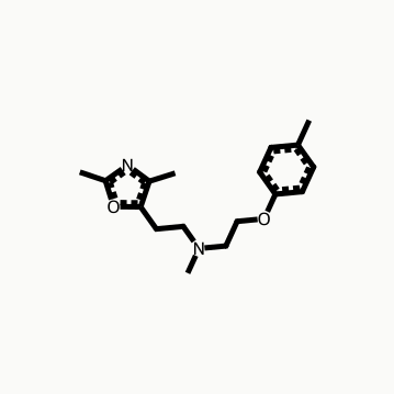 Cc1ccc(OCCN(C)CCc2oc(C)nc2C)cc1